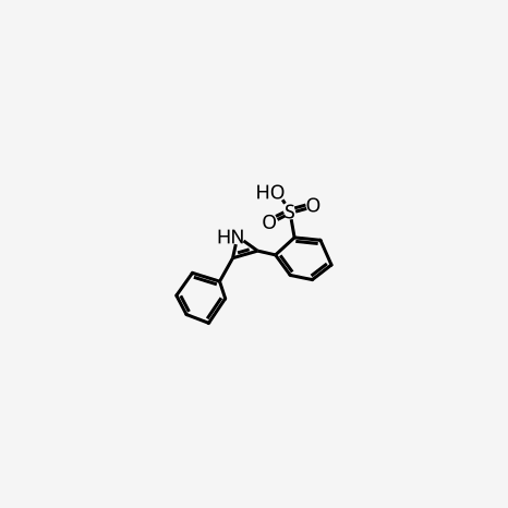 O=S(=O)(O)c1ccccc1C1=C(c2ccccc2)N1